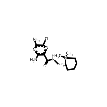 C[N+]1(C)CCCC[C@@H]1CNC(=O)c1nc(Cl)c(N)nc1N